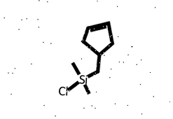 C[Si](C)(Cl)CC1CC=CC1